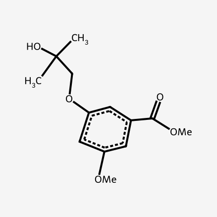 COC(=O)c1cc(OC)cc(OCC(C)(C)O)c1